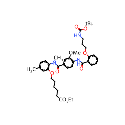 CCOC(=O)CCCCCOc1cc(C)ccc1N(C)C(=O)c1ccc(NC(=O)c2ccccc2OCCCNC(=O)OC(C)(C)C)c(OC)c1